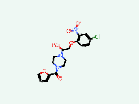 O=C(c1ccco1)N1CCN(C(O)COc2ccc(Cl)cc2[N+](=O)[O-])CC1